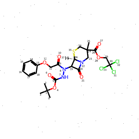 CC(C)(C)OC(=O)NN(C(=O)COc1ccccc1)C1C(=O)N2CC(C)(C(=O)OCC(Cl)(Cl)Cl)CS[C@H]12